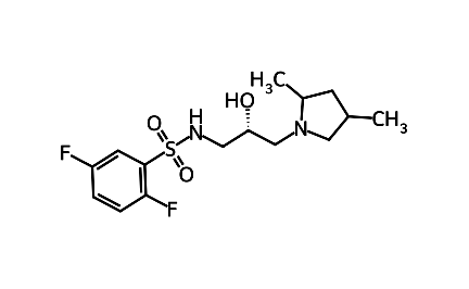 CC1CC(C)N(C[C@@H](O)CNS(=O)(=O)c2cc(F)ccc2F)C1